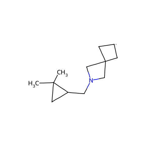 CC1(C)CC1CN1CC2(C[CH]C2)C1